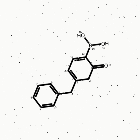 O=C1CC(Cc2ccccc2)=CC=C1B(O)O